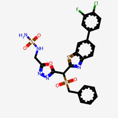 NS(=O)(=O)NCc1nnc(C(c2nc3ccc(-c4ccc(Cl)c(F)c4)cc3s2)S(=O)(=O)Cc2ccccc2)o1